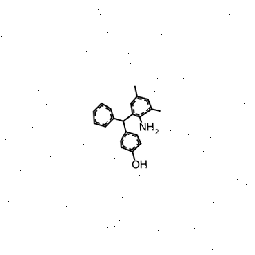 Cc1cc(C)c(N)c(C(c2ccccc2)c2ccc(O)cc2)c1